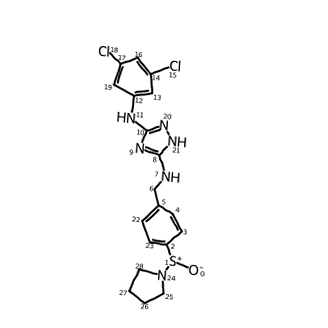 [O-][S+](c1ccc(CNc2nc(Nc3cc(Cl)cc(Cl)c3)n[nH]2)cc1)N1CCCC1